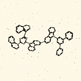 c1ccc(-c2cc(-c3ccccc3)cc(-n3c4ccccc4c4cc(-c5ccc6c(c5)c5ccccc5n6-c5nc(-c6cccc7ccccc67)nc(-c6cccc7ccccc67)n5)ccc43)c2)cc1